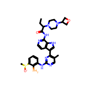 CCC(C(=O)Nc1nccc2c(-c3nc(Nc4cccc([S+](C)[O-])c4P)ncc3C)c[nH]c12)N1CCN(C2COC2)CC1